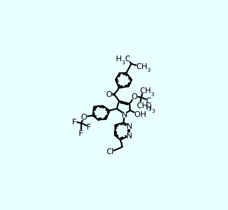 CC(C)c1ccc(C(=O)C2=C(OC(C)(C)C)C(O)N(c3ccc(CCl)nn3)C2c2ccc(OC(F)(F)F)cc2)cc1